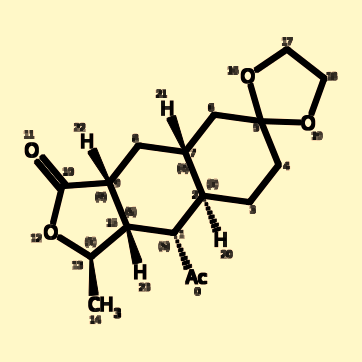 CC(=O)[C@H]1[C@@H]2CCC3(C[C@H]2C[C@H]2C(=O)O[C@H](C)[C@@H]12)OCCO3